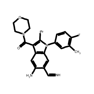 Cc1cc(-n2c(C(C)C)c(C(=O)N3CCOCC3)c3cc(N)c(C=N)cc32)ccc1F